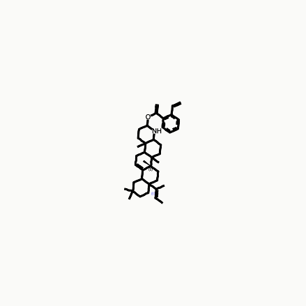 C=Cc1ccccc1C(=C)OC1CCC2(C)C(CCC3(C)C2CC=C2C4CC(C)(C)CCC4(/C(C)=C/C)CC[C@]23C)N1